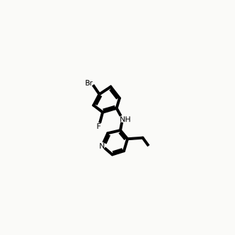 CCc1ccncc1Nc1ccc(Br)cc1F